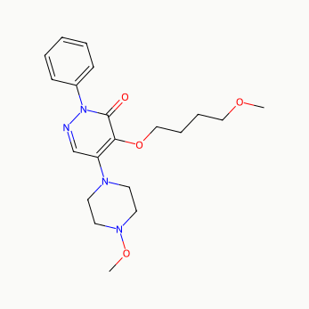 COCCCCOc1c(N2CCN(OC)CC2)cnn(-c2ccccc2)c1=O